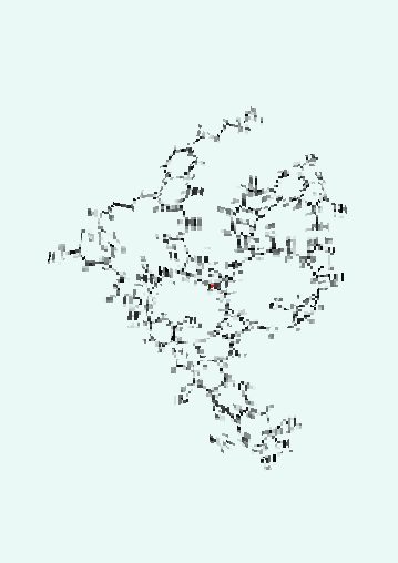 CCCCOc1ccc(OCCNC)cc1NC(=O)NC(=O)C[C@@H]1NC(=O)[C@H](NC(=O)[C@@H](CC(C)C)NC)[C@H](O)c2ccc(c(C)c2)Oc2cc3cc(c2O[C@@H]2O[C@H](CN)[C@@H](O)[C@H](O)[C@H]2O[C@H]2C[C@](C)(N)[C@H](O)[C@H](C)O2)Oc2ccc(cc2Cl)[C@@H](O)[C@@H]2NC(=O)[C@H](NC(=O)[C@@H]3NC1=O)c1ccc(O)c(c1)-c1c(O)cc(O)cc1[C@@H](C(=O)O)NC2=O